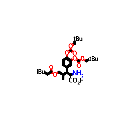 CCC(C)CC(=O)OCC(C)C(c1ccc(OC(=O)OCC(C)(C)C)c(OC(=O)OCC(C)(C)C)c1)[C@H](N)C(=O)O